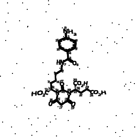 Nc1ccc(C(=O)NCCCC[C@@H](C(=O)O)N2C(=O)CC(=O)N([C@@H](CCC(=O)O)C(=O)O)C2=O)cc1